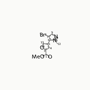 COC(=O)c1cc(-c2c(Br)cnn2C)co1